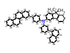 CC1(C)C2=C(C=CCC2)c2cc(N(c3ccc(-c4ccc5ccc6c7ccccc7ccc6c5c4)cc3)c3cccc(-c4cccc5ccccc45)c3)ccc21